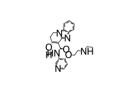 CCNCCOc1ccncc1NC(=O)C1=C(O)CCn2c1nc1ccccc12